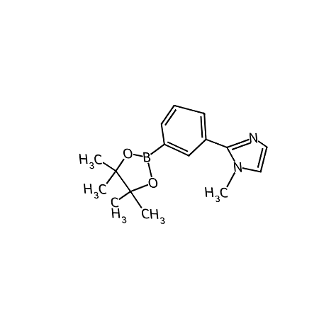 Cn1ccnc1-c1cccc(B2OC(C)(C)C(C)(C)O2)c1